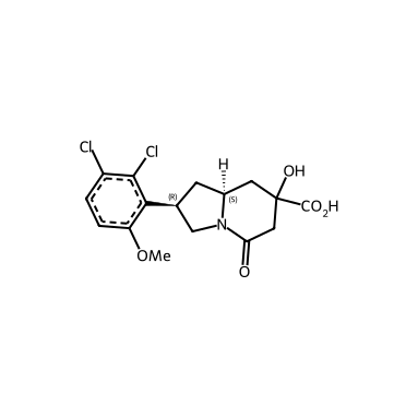 COc1ccc(Cl)c(Cl)c1[C@H]1C[C@H]2CC(O)(C(=O)O)CC(=O)N2C1